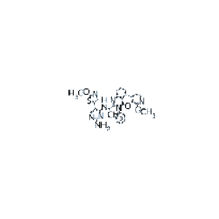 COc1cc(-c2cccc3nc(C(C)Nc4nc(N)ncc4-c4cnc(OC)s4)n(-c4ccccc4)c(=O)c23)ccn1